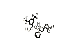 CC(OC[C@@]1(c2ccccc2)CC[C@H](N2CCNC2=O)CN1)c1cc(C(F)(F)F)cc(C(F)(F)F)c1